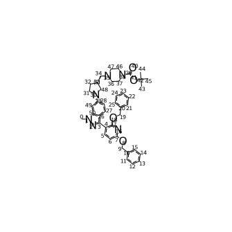 Cn1nc(-c2ccc(OCc3ccccc3)nc2OCc2ccccc2)c2ccc(N3CC[C@@H](CN4CCN(C(=O)OC(C)(C)C)CC4)C3)cc21